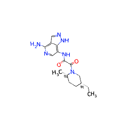 CC[C@@H]1CC[C@H](C)N(C(=O)C(=O)Nc2cnc(N)c3cn[nH]c23)C1